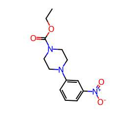 CCOC(=O)N1CCN(c2cccc([N+](=O)[O-])c2)CC1